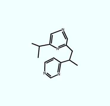 CC(C)c1cncc(CC(C)c2ccncn2)n1